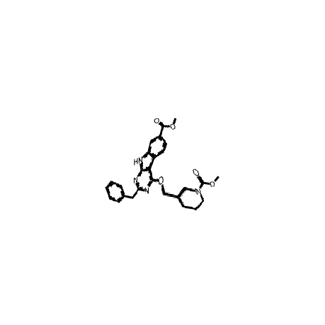 COC(=O)c1ccc2c(c1)[nH]c1nc(Cc3ccccc3)nc(OCC3CCCN(C(=O)OC)C3)c12